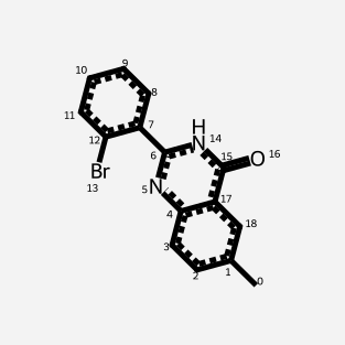 Cc1ccc2nc(-c3ccccc3Br)[nH]c(=O)c2c1